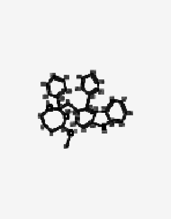 COC1CCCOC(Cc2ccc3sc4ccccc4c3c2-c2ccccc2)(c2ccccc2)O1